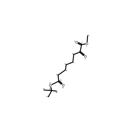 COC(=O)C(=O)CCCCCC(=O)OC(C)(C)C